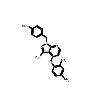 COc1ccc(Cn2nc(C)c3c(Oc4ccc(N)cc4C)ccnc32)cc1